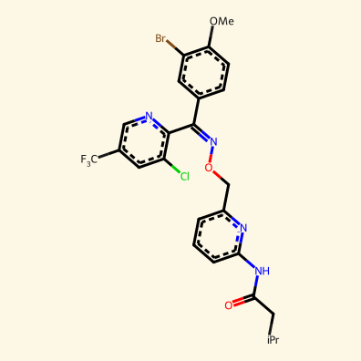 COc1ccc(C(=NOCc2cccc(NC(=O)CC(C)C)n2)c2ncc(C(F)(F)F)cc2Cl)cc1Br